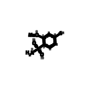 COc1cc([S])ccc1S(N)(=O)=O